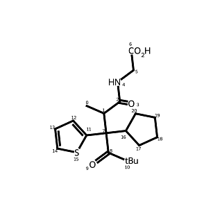 CC(C(=O)NCC(=O)O)C(C(=O)C(C)(C)C)(c1cccs1)C1CCCC1